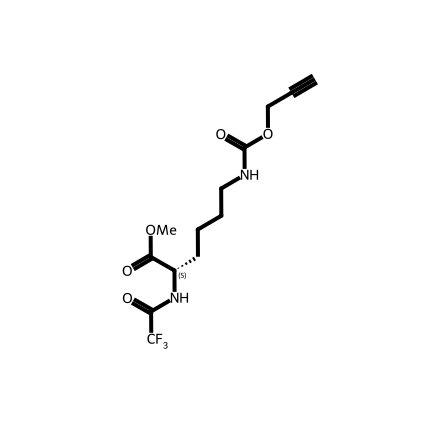 C#CCOC(=O)NCCCC[C@H](NC(=O)C(F)(F)F)C(=O)OC